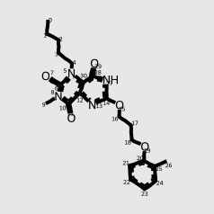 CCCCCn1c(=O)n(C)c(=O)c2nc(OCCCOc3ccccc3C)[nH]c(=O)c21